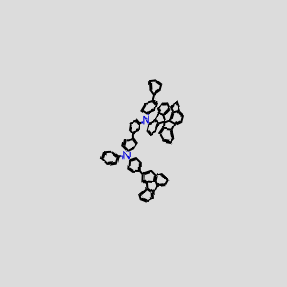 c1ccc(-c2ccc(N(c3cccc(-c4ccc(N(c5ccccc5)c5ccc(-c6cc7c8c(cccc8c6)-c6ccccc6-7)cc5)cc4)c3)c3cccc4c3-c3ccccc3C43c4ccccc4-c4ccc5ccccc5c43)cc2)cc1